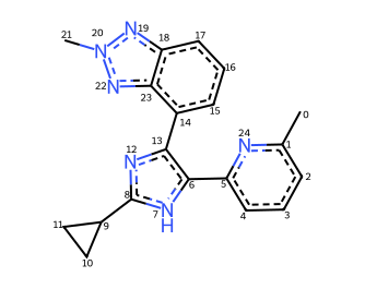 Cc1cccc(-c2[nH]c(C3CC3)nc2-c2cccc3nn(C)nc23)n1